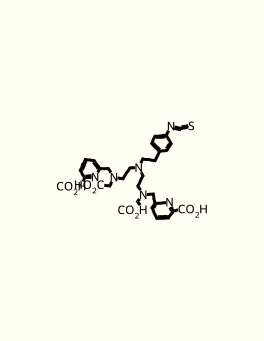 O=C(O)CN(CCN(CCc1ccc(N=C=S)cc1)CCN(CC(=O)O)Cc1cccc(C(=O)O)n1)Cc1cccc(C(=O)O)n1